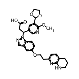 COc1ncc(C(CC(=O)O)n2ncc3cc(OCCc4ccc5c(n4)NCCC5)ccc32)cc1C1OCCO1